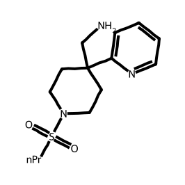 CCCS(=O)(=O)N1CCC(CN)(c2ccccn2)CC1